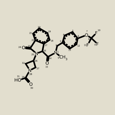 CN(Cc1ccc(OC(F)(F)F)cc1)C(=O)C1c2ccccc2C(=O)N1C1CN(C(=O)O)C1